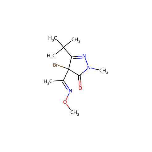 CON=C(C)C1(Br)C(=O)N(C)N=C1C(C)(C)C